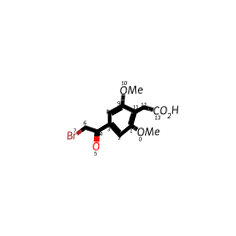 COc1cc(C(=O)CBr)cc(OC)c1CC(=O)O